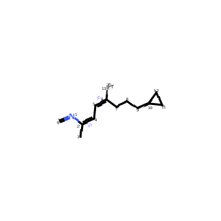 C=N/C(C)=C\C=C(/CCCC1CC1)C(C)C